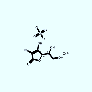 O=C1O[C@H]([C@@H](O)CO)C(O)=C1O.O=S(=O)([O-])[O-].[Zn+2]